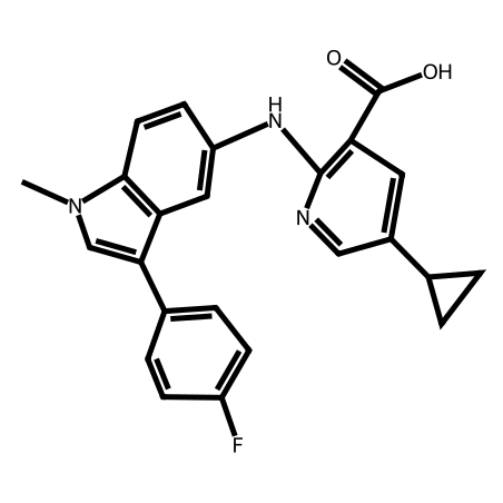 Cn1cc(-c2ccc(F)cc2)c2cc(Nc3ncc(C4CC4)cc3C(=O)O)ccc21